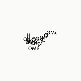 COCCN(CCOC)Cc1oc(-c2ccc(OC)cc2)nc1COc1ccc(-c2noc(=O)[nH]2)c(C)c1